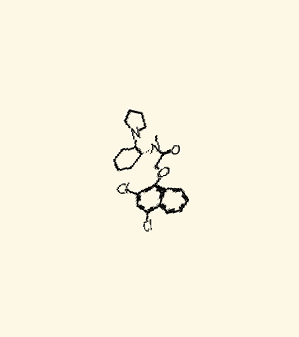 CN(C(=O)COc1c(Cl)cc(Cl)c2ccccc12)[C@@H]1CCCC[C@H]1N1CCCC1